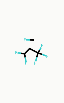 CF.FC(F)CC(F)(F)F